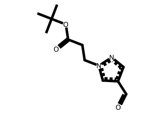 CC(C)(C)OC(=O)CCn1cc(C=O)cn1